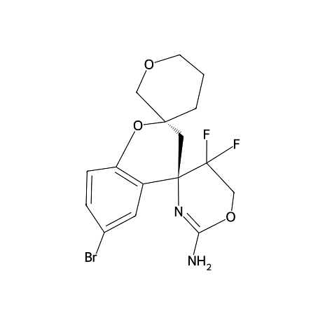 NC1=N[C@@]2(C[C@]3(CCCOC3)Oc3ccc(Br)cc32)C(F)(F)CO1